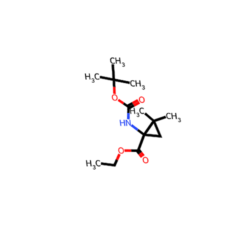 CCOC(=O)C1(NC(=O)OC(C)(C)C)CC1(C)C